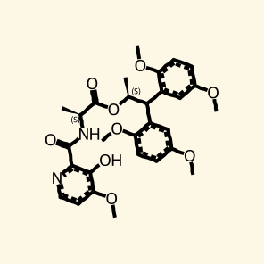 COc1ccc(OC)c(C(c2cc(OC)ccc2OC)[C@H](C)OC(=O)[C@H](C)NC(=O)c2nccc(OC)c2O)c1